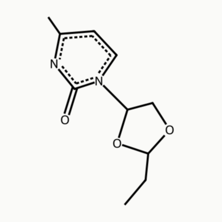 CCC1OCC(n2ccc(C)nc2=O)O1